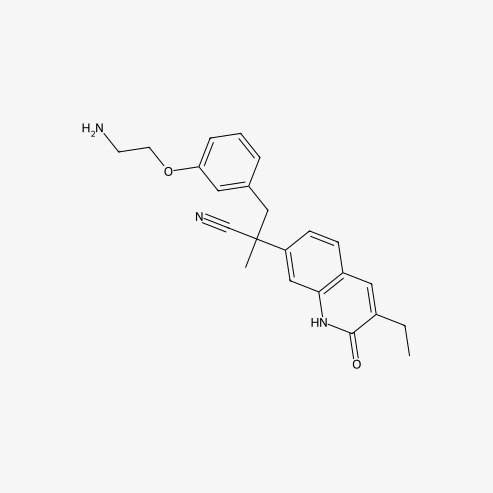 CCc1cc2ccc(C(C)(C#N)Cc3cccc(OCCN)c3)cc2[nH]c1=O